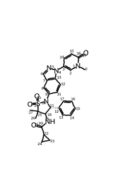 Cn1cc(-n2ncc3cc(N4[C@H](c5ccccc5)C(NC(=O)C5CC5)C(C)(C)S4(=O)=O)ccc32)ccc1=O